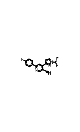 N#Cc1cnc(-c2ccc(F)cc2)cc1-c1ccn(C(F)F)n1